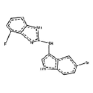 Fc1cccc2[nH]c(Nc3c[nH]c4ccc(Br)cc34)nc12